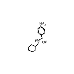 Cl.Nc1ccc(CNCC2CCCCC2)cc1